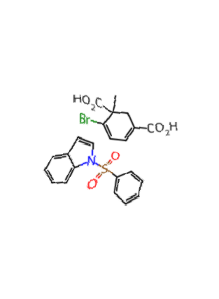 CC1(C(=O)O)CC(C(=O)O)=CC=C1Br.O=S(=O)(c1ccccc1)n1ccc2ccccc21